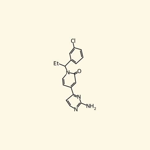 CCC(c1cccc(Cl)c1)n1ccc(-c2ccnc(N)n2)cc1=O